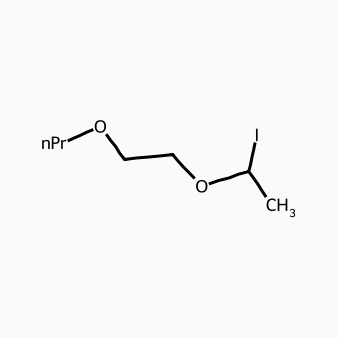 CCCOCCOC(C)I